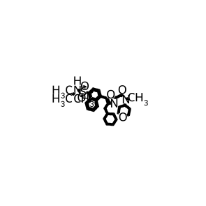 CN(C(=O)c1nc(CC2CCCCC2)c(-c2ccc(S(=O)(=O)NC(C)(C)C)c3ccccc23)o1)C1CCOCC1